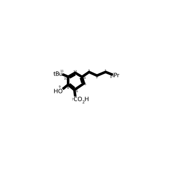 CC(C)CCCc1cc(C(=O)O)c(O)c(C(C)(C)C)c1